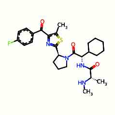 CN[C@@H](C)C(=O)N[C@H](C(=O)N1CCC[C@H]1c1nc(C(=O)c2ccc(F)cc2)c(C)s1)C1CCCCC1